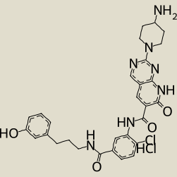 Cl.NC1CCN(c2ncc3cc(C(=O)Nc4cc(C(=O)NCCCc5cccc(O)c5)ccc4Cl)c(=O)[nH]c3n2)CC1